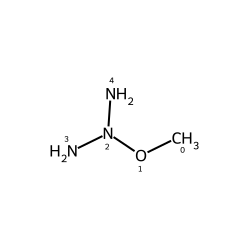 CON(N)N